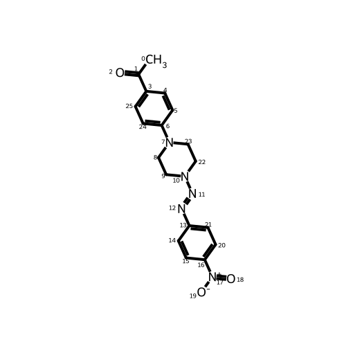 CC(=O)c1ccc(N2CCN(N=Nc3ccc([N+](=O)[O-])cc3)CC2)cc1